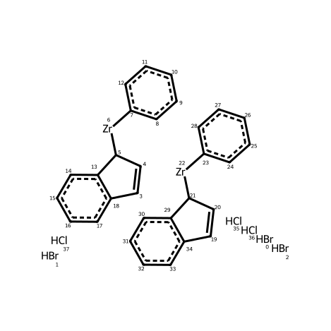 Br.Br.Br.C1=C[CH]([Zr][c]2ccccc2)c2ccccc21.C1=C[CH]([Zr][c]2ccccc2)c2ccccc21.Cl.Cl.Cl